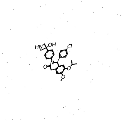 COc1cc2c(cc1OC(C)C)[C@H](c1ccc(Cl)cc1)N(c1ccc(C3(O)CNC3)cc1)C(=O)C2